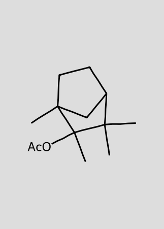 CC(=O)OC1(C)C2(C)CCC(C2)C1(C)C